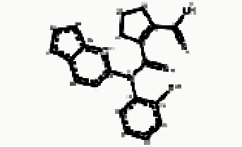 O=C(O)C1=C(C(=O)N(c2ccc3cccc-3o2)c2ccccc2F)CCC1